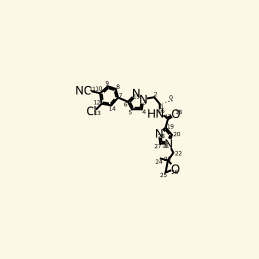 C[C@@H](Cn1ccc(-c2ccc(C#N)c(Cl)c2)n1)NC(=O)c1cn(CC2(C)CO2)cn1